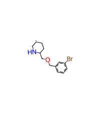 Brc1cccc(COCC2CC[CH]CN2)c1